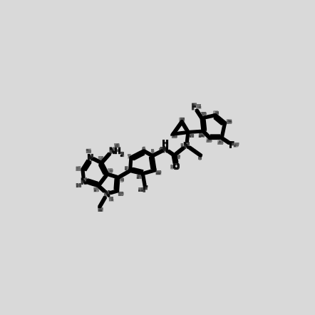 CN(C(=O)Nc1ccc(-c2cn(C)c3ncnc(N)c23)c(F)c1)C1(c2cc(F)ccc2F)CC1